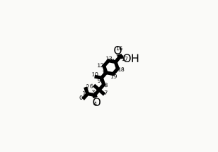 CC(C)C(=O)C(C)(C)CC(C)C1CCC(C(=O)O)CC1